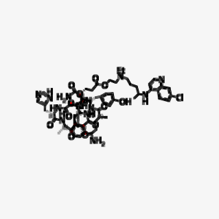 CCN(CCCC(C)Nc1ccnc2cc(Cl)ccc12)CCOC(=O)CC[C@H](NC(=O)[C@H](Cc1ccccc1)NC(=O)[C@H](C)NC(=O)[C@H](C)NC(=O)[C@H](Cc1cnc[nH]1)NC(=O)CNC(=O)[C@H](Cc1ccc(O)cc1)NC(=O)[C@@H](C)CCC(N)=O)C(N)=O